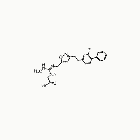 CNC(=NCc1cc(CCc2ccc(-c3ccccc3)c(F)c2)no1)NCC(=O)O